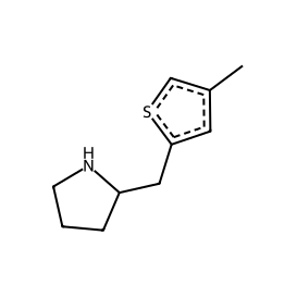 Cc1csc(CC2CCCN2)c1